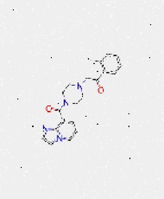 Cc1ccccc1C(=O)CN1CCN(C(=O)c2cccn3ccnc23)CC1